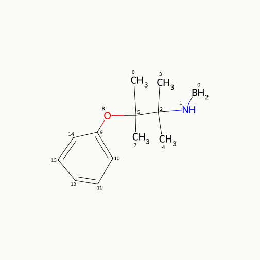 BNC(C)(C)C(C)(C)Oc1ccccc1